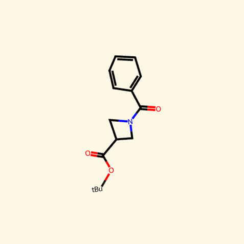 CC(C)(C)OC(=O)C1CN(C(=O)c2ccccc2)C1